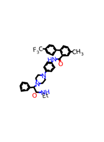 CCNC(=O)C(c1ccccc1)N1CCN(c2ccc(NC(=O)c3cc(C)ccc3-c3ccc(C(F)(F)F)cc3)cc2)CC1